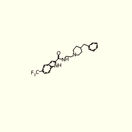 O=C(NCCN1CCC(Cc2ccccc2)CC1)c1cc2cc(C(F)(F)F)ccc2[nH]1